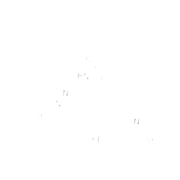 O=c1ccccn1Cc1ccc(Cc2cccc(S(=O)(=O)NCc3nn(C4CCCCO4)c4ccc(Cl)cc34)c2)cc1